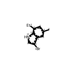 CCc1cc(C)cc2c(Br)c[nH]c12